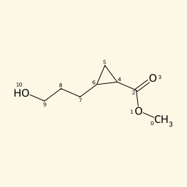 COC(=O)C1CC1CCCO